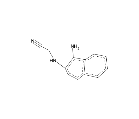 N#CCNc1ccc2ccccc2c1N